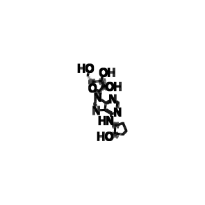 OC[C@H]1O[C@@H](n2cnc3c(N[C@@H]4CCC[C@@H]4O)ncnc32)[C@H](O)[C@@H]1O